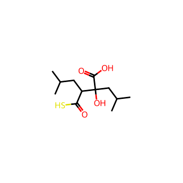 CC(C)CC(C(=O)S)C(O)(CC(C)C)C(=O)O